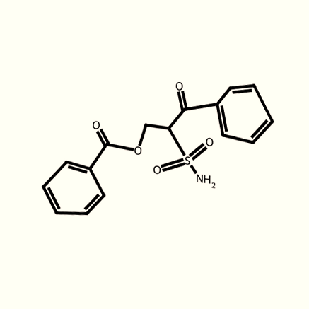 NS(=O)(=O)C(COC(=O)c1ccccc1)C(=O)c1ccccc1